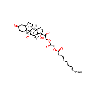 CCCCCCCCCCCCCCCCCC(=O)OCC(=O)OCC(=O)[C@@]1(O)CC[C@H]2[C@@H]3CCC4=CC(=O)C=C[C@]4(C)[C@H]3[C@@H](O)C[C@@]21C